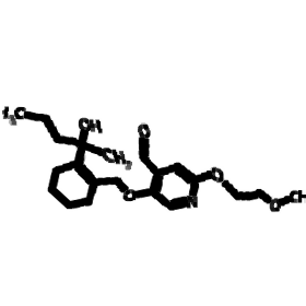 CCCC(C)(O)C1=C(COc2cnc(OCCOC)cc2C=O)CCCC1